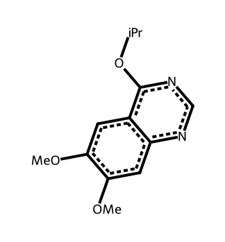 COc1cc2ncnc(OC(C)C)c2cc1OC